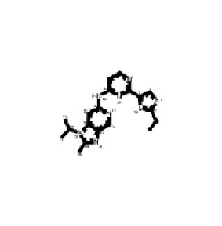 CCc1ncc(-c2nccc(Nc3cc4c(cn3)nc(C)n4C(C)C)n2)s1